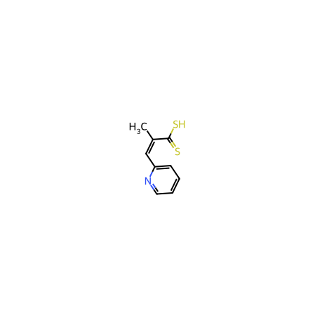 CC(=Cc1ccccn1)C(=S)S